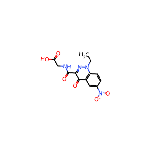 CCn1nc(C(=O)NCC(=O)O)c(=O)c2cc([N+](=O)[O-])ccc21